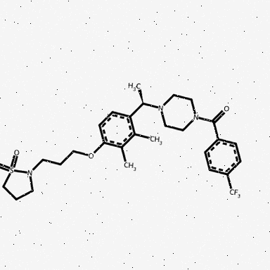 Cc1c(OCCCN2CCCS2(=O)=O)ccc([C@@H](C)N2CCN(C(=O)c3ccc(C(F)(F)F)cc3)CC2)c1C